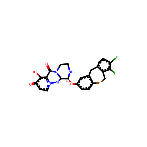 O=C1c2c(O)c(=O)ccn2NC2[C@H](Oc3ccc4c(c3)Cc3ccc(F)c(F)c3CS4)NCCN12